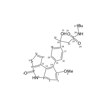 COc1ccc2[nH]c(=O)c3sccc3c2c1-c1ccc(C(C)(O)CS(=O)(=O)NC(C)(C)C)cc1